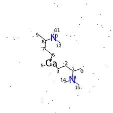 CC(C[CH2][Ga]([CH3])[CH2]CC(C)N(C)C)N(C)C